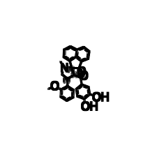 COc1ccccc1[C@H]1CN(C)[C@]2(C(=O)c3cccc4cccc2c34)[C@H]1C(=O)c1ccc(O)c(O)c1